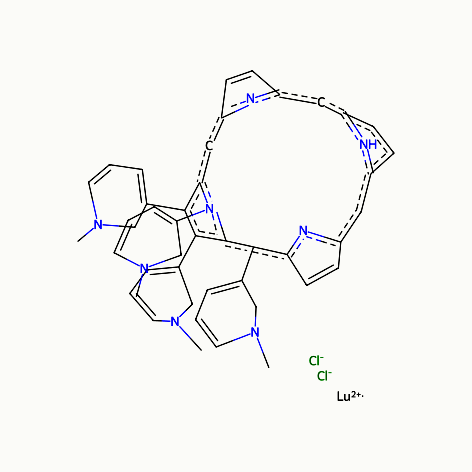 CN1C=CC=C(c2c(C3=CC=CN(C)C3)c3c(C4=CC=CN(C)C4)c4nc(cc5ccc(cc6nc(cc2n3C2=CC=CN(C)C2)C=C6)[nH]5)C=C4)C1.[Cl-].[Cl-].[Lu+2]